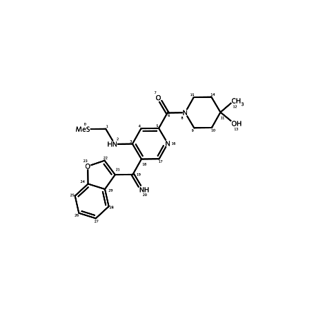 CSCNc1cc(C(=O)N2CCC(C)(O)CC2)ncc1C(=N)c1coc2ccccc12